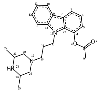 CC(=O)Oc1cccc2c3ccccc3n(CCCN3CC(C)NC(C)C3)c12